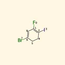 FC1=C(I)CCC(Br)=C1